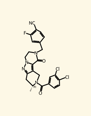 C[C@@H]1Cc2nn3c(c2CN1C(=O)c1ccc(Cl)c(Cl)c1)C(=O)N(Cc1ccc(C#N)c(F)c1)CC3